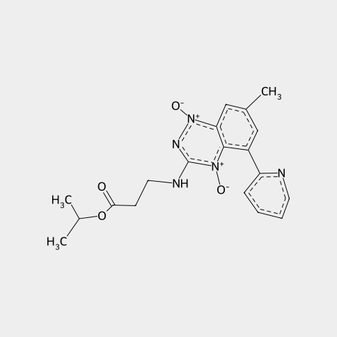 Cc1cc(-c2ccccn2)c2c(c1)[n+]([O-])nc(NCCC(=O)OC(C)C)[n+]2[O-]